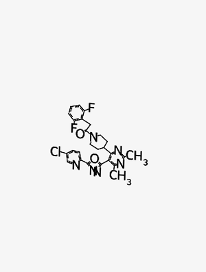 Cc1nc(C)c(-c2nnc(-c3ccc(Cl)cn3)o2)c(C2CCN(C(=O)Cc3c(F)cccc3F)CC2)n1